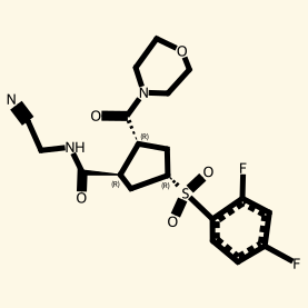 N#CCNC(=O)[C@@H]1C[C@@H](S(=O)(=O)c2ccc(F)cc2F)C[C@H]1C(=O)N1CCOCC1